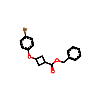 O=C(OCc1ccccc1)C1CC(Oc2ccc(Br)cc2)C1